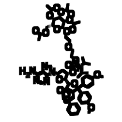 COc1ccc(C(OC(C(=O)COc2ccccc2)[C@H]2O[C@@H](n3cnc4c(N)ncnc43)C[C@@H]2OP(=O)(OCCOCCO[C@@H]2O[C@H](COC(C)=O)[C@H](OC(C)=O)[C@H](OC(C)=O)[C@H]2OC(C)=O)N(C(C)C)C(C)C)(c2ccccc2)c2ccc(OC)cc2)cc1